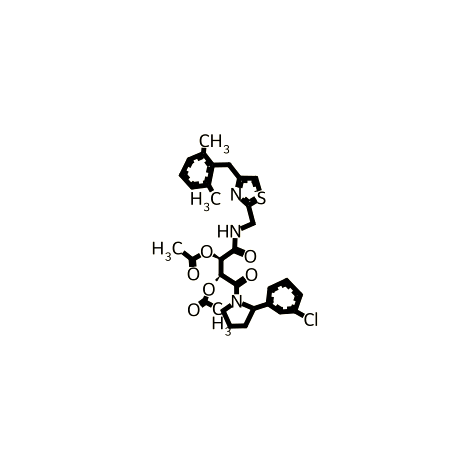 CC(=O)O[C@@H](C(=O)NCc1nc(Cc2c(C)cccc2C)cs1)[C@@H](OC(C)=O)C(=O)N1CCCC1c1cccc(Cl)c1